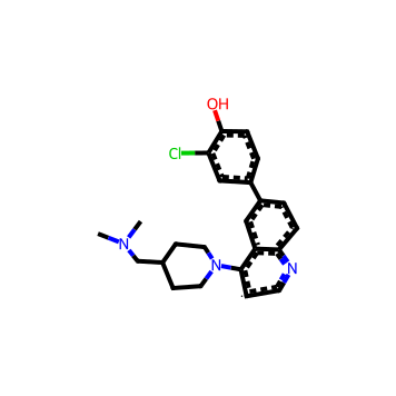 CN(C)CC1CCN(c2[c]cnc3ccc(-c4ccc(O)c(Cl)c4)cc23)CC1